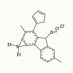 CC[Si]1(CC)c2c(C)c(C3=CC=CC3)c3c(c21)-c1ccc(C)cc1[CH]3[Zr+2].[Cl-].[Cl-]